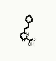 O=C(O)c1nccc(C=Cc2ccccc2)n1